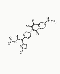 CNc1ccc2c(=O)n(-c3ccc(N(C(=O)N=S(=O)=O)c4ccc(Cl)s4)cc3)c(=O)n(F)c2c1